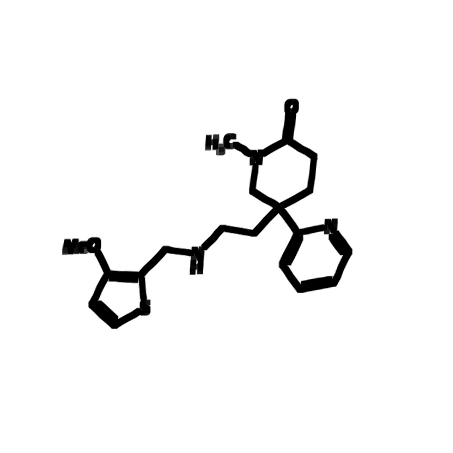 COc1ccsc1CNCCC1(c2ccccn2)CCC(=O)N(C)C1